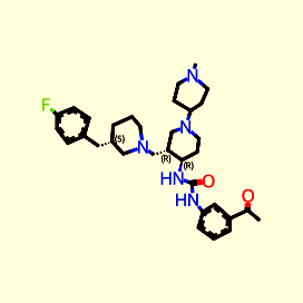 CC(=O)c1cccc(NC(=O)N[C@@H]2CCN(C3CCN(C)CC3)C[C@H]2CN2CCC[C@@H](Cc3ccc(F)cc3)C2)c1